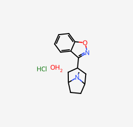 CN1C2CCC1CC(c1noc3ccccc13)C2.Cl.O